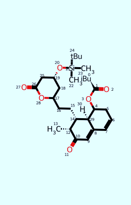 CC[C@H](C)C(=O)OC1CC=CC2=CC(=O)[C@H](C)[C@H](CCC3C[C@@H](O[Si](C)(C)C(C)(C)C)CC(=O)O3)[C@H]21